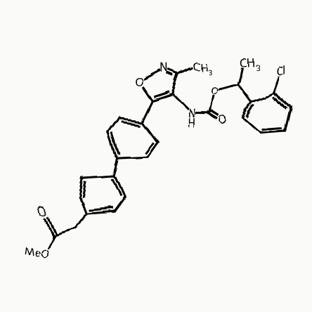 COC(=O)Cc1ccc(-c2ccc(-c3onc(C)c3NC(=O)OC(C)c3ccccc3Cl)cc2)cc1